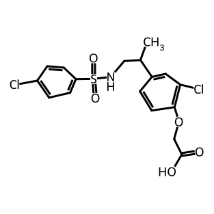 CC(CNS(=O)(=O)c1ccc(Cl)cc1)c1ccc(OCC(=O)O)c(Cl)c1